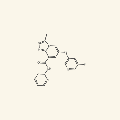 Cc1nnc2c(C(=O)Nc3ccccn3)cc(Oc3cncc(F)c3)cn12